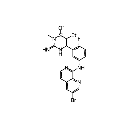 CCC1C(c2cc(Nc3nccc4cc(Br)cnc34)ccc2F)NC(=N)N(C)[S+]1[O-]